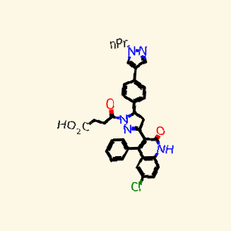 CCCn1cc(-c2ccc(C3CC(c4c(-c5ccccc5)c5cc(Cl)ccc5[nH]c4=O)=NN3C(=O)CCC(=O)O)cc2)cn1